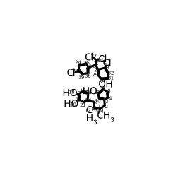 C[C@H](Cc1ccc(O)c(O)c1)[C@@H](C)Cc1ccc(O)c(O)c1.Clc1ccc(C(c2ccccc2Cl)C(Cl)Cl)cc1